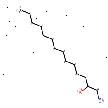 CCCCCCCCCCCCC(O)CN